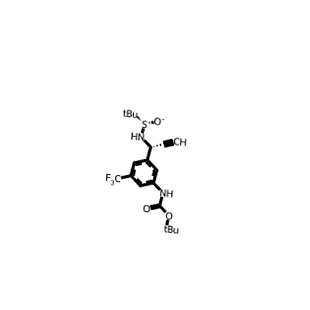 C#C[C@@H](N[S@@+]([O-])C(C)(C)C)c1cc(NC(=O)OC(C)(C)C)cc(C(F)(F)F)c1